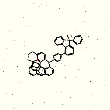 CC1(c2ccccc2)c2ccccc2-c2c(-c3ccc(N(c4ccccc4-c4cccc5cccc(C6CCCCC6)c45)c4cccc5oc6ccccc6c45)cc3)cccc21